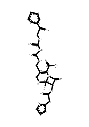 O=C(Cc1cccs1)NC1C(=O)N2C(C(=O)O)=C(COC(=O)NC(=O)OCC(=O)c3ccccc3)CS[C@@H]12